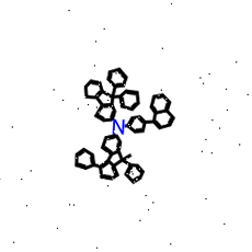 CC1(c2ccccc2)c2cc(N(c3ccc(-c4cccc5ccccc45)cc3)c3ccc4c(c3)C(c3ccccc3)(c3ccccc3)C3=C4CCC=C3)ccc2-c2c(-c3ccccc3)cccc21